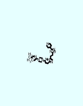 C=C/C=N\C(=C/C)N1CCN(c2ccc3ncc(CCc4nc(-c5ccncc5)no4)n3n2)CC1